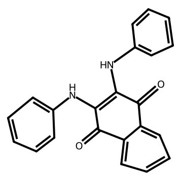 O=C1C(Nc2ccccc2)=C(Nc2ccccc2)C(=O)c2ccccc21